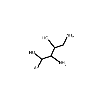 CC(=O)C(O)C(N)C(O)CN